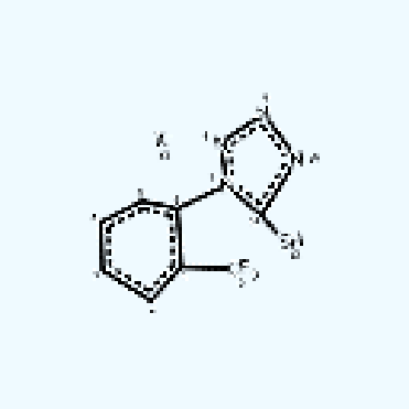 FC(F)(F)c1ccccc1-n1nnnc1S.[K]